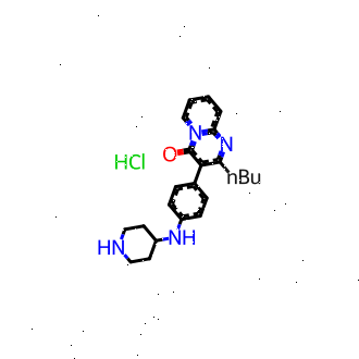 CCCCc1nc2ccccn2c(=O)c1-c1ccc(NC2CCNCC2)cc1.Cl